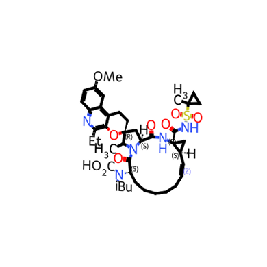 CCc1nc2ccc(OC)cc2c2c1O[C@]1(CC2)C[C@H]2C(=O)N[C@]3(C(=O)NS(=O)(=O)C4(C)CC4)C[C@H]3/C=C\CCCCC[C@H](N(C(=O)O)C(C)CC)C(=O)N2C1C